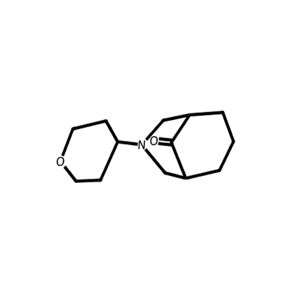 O=C1C2CCCC1CN(C1CCOCC1)C2